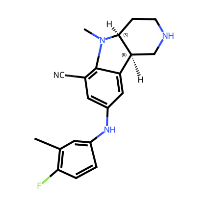 Cc1cc(Nc2cc(C#N)c3c(c2)[C@@H]2CNCC[C@@H]2N3C)ccc1F